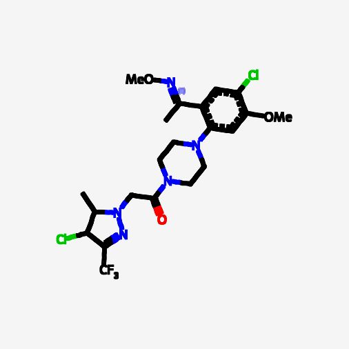 CO/N=C(\C)c1cc(Cl)c(OC)cc1N1CCN(C(=O)CN2N=C(C(F)(F)F)C(Cl)C2C)CC1